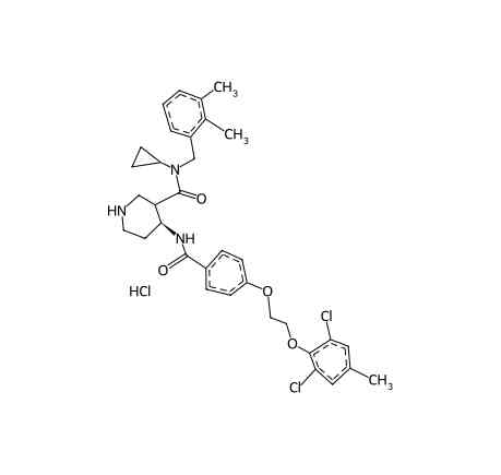 Cc1cc(Cl)c(OCCOc2ccc(C(=O)N[C@H]3CCNCC3C(=O)N(Cc3cccc(C)c3C)C3CC3)cc2)c(Cl)c1.Cl